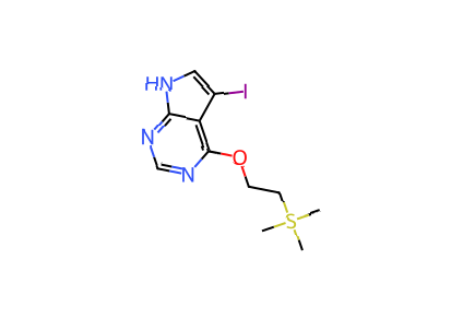 CS(C)(C)CCOc1ncnc2[nH]cc(I)c12